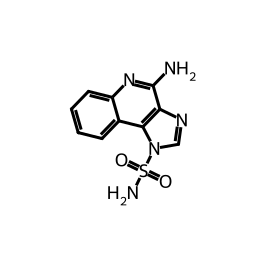 Nc1nc2ccccc2c2c1ncn2S(N)(=O)=O